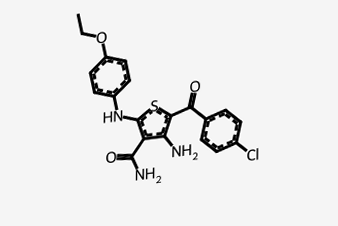 CCOc1ccc(Nc2sc(C(=O)c3ccc(Cl)cc3)c(N)c2C(N)=O)cc1